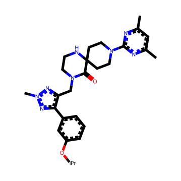 Cc1cc(C)nc(N2CCC3(CC2)NCCN(Cc2nn(C)nc2-c2cccc(OC(C)C)c2)C3=O)n1